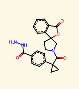 NNC(=O)c1ccc(C2(C(=O)N3CCC4(C3)OC(=O)c3ccccc34)CC2)cc1